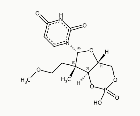 COCC[C@@]1(C)[C@@H]2OP(=O)(O)OC[C@H]2O[C@H]1n1ccc(=O)[nH]c1=O